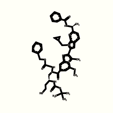 COc1cc(C(=O)N(C[C@@H](CCO)NC(=O)OC(C)(C)C)NC(=O)OCc2ccccc2)cc2nc(-c3cc4ccc([C@@H](C)NC(=O)c5ccccc5)nc4n3CC3CC3)c(C)n12